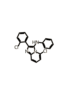 Clc1ccccc1-c1nc2cccc(Cl)n2c1Nc1ccccc1